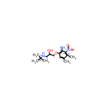 Cc1cc(OCC(O)CNC(C)(C)C)c(N)c([N+](=O)[O-])c1C